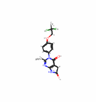 COc1nc2c(c(=O)n1-c1ccc(OCC(F)(F)C(F)(F)F)cc1)CC(=O)N2